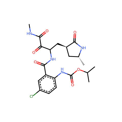 CNC(=O)C(=O)C(C[C@@H]1C[C@@H](C)NC1=O)NC(=O)c1cc(Cl)ccc1NC(=O)OC(C)C